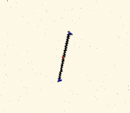 CN(C)CCCCCCCCCCCCCCCCCCCCOCCCCCCCCCCCCCCCCCCCCN(C)C